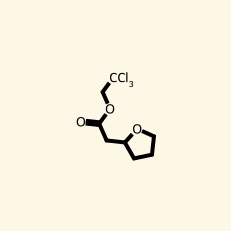 O=C(CC1CCCO1)OCC(Cl)(Cl)Cl